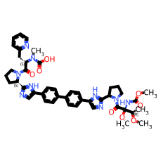 COC(=O)N[C@@](OC)(C(=O)N1CCCC1c1ncc(-c2ccc(-c3ccc(-c4cnc([C@@H]5CCCN5C(=O)[C@H](Cc5ccccn5)N(C)C(=O)O)[nH]4)cc3)cc2)[nH]1)[C@@H](C)OC